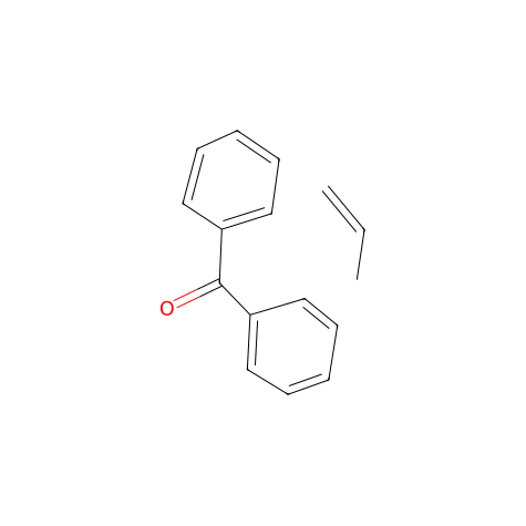 C=CC.O=C(c1ccccc1)c1ccccc1